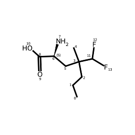 CCCC(C)(C[C@H](N)C(=O)O)C(F)F